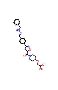 O=C(O)COC1CCN(C(=O)C2CC(c3ccc(C=NNCc4ccccc4)cc3)=NO2)CC1